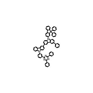 c1ccc(-c2ccc3c(c2)c2cc(-c4ccc5c(c4)c4ccccc4n5-c4cccc(-c5nc(-c6ccccc6)nc(-c6ccccc6)n5)c4)ccc2n3-c2ccc3c(c2)C(c2ccccc2)(c2ccccc2)c2ccccc2-3)cc1